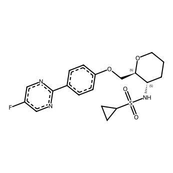 O=S(=O)(N[C@H]1CCCO[C@@H]1COc1ccc(-c2ncc(F)cn2)cc1)C1CC1